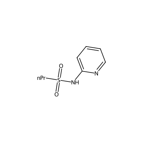 CCCS(=O)(=O)Nc1ccccn1